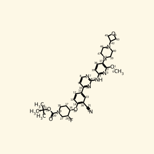 COc1nc(Nc2nccc(-c3ccc(O[C@@H]4CCN(C(=O)OC(C)(C)C)C[C@@H]4F)c(C#N)c3)n2)ccc1N1CCN(C2COC2)CC1